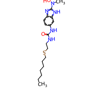 CCCCCCCSCCNC(=O)Nc1ccc2nc(N(C)O)[nH]c2c1